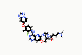 Cc1c(Oc2ccn3ncnc3c2)ccc(Nc2ncnc3cc4c(nc23)N2CCN(C(=O)C=CCN(C)C)[C@H](CO4)C2)c1F